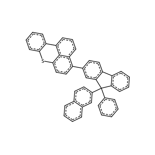 c1ccc(C2(c3ccc4ccccc4c3)c3ccccc3-c3ccc(-c4ccc5c6c(cccc46)-c4ccccc4S5)cc32)cc1